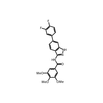 COc1cc(C(=O)Nc2n[nH]c3cc(-c4ccc(F)c(F)c4)ccc23)cc(OC)c1OC